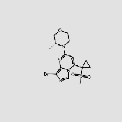 C[C@@H]1COCCN1c1cc(C2(S(C)(=O)=O)CC2)n2cnc(Br)c2n1